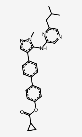 CC(C)Cc1cncc(Nc2c(-c3ccc(-c4ccc(OC(=O)C5CC5)cc4)cc3)cnn2C)n1